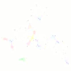 CN(/N=C\c1cnn2ccc(C#N)cc12)S(=O)(=O)c1cc([N+](=O)[O-])ccc1OCc1ccccn1.Cl